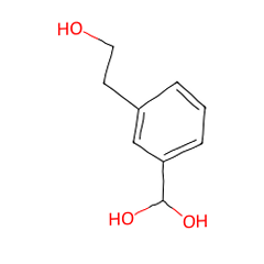 OCCc1cccc(C(O)O)c1